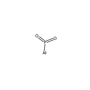 O=[P](=O)[Al]